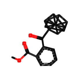 COC(=O)c1ccccc1C(=O)[C]12[CH]3[CH]4[CH]5[CH]1[Fe]45321678[CH]2[CH]1[CH]6[CH]7[CH]28